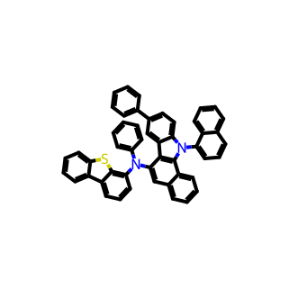 c1ccc(-c2ccc3c(c2)c2c(N(c4ccccc4)c4cccc5c4sc4ccccc45)cc4ccccc4c2n3-c2cccc3ccccc23)cc1